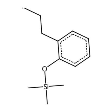 [CH2]CCc1ccccc1O[Si](C)(C)C